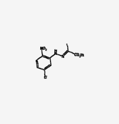 CCOC(=O)C(C)=NNc1cc(Cl)ccc1[N+](=O)[O-]